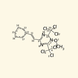 CON1C(C(Cl)(Cl)Cl)=NC(C=Cc2ccccc2)=NC1C(Cl)(Cl)Cl